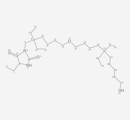 CCC1NC(=O)N(CC(CC)(CC)CCCCOCCCCC(CC)(CC)CCCCCO)C1=O